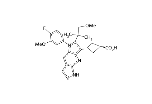 COCC(C)(C)c1c([C@H]2C[C@H](C(=O)O)C2)c2nc3[nH]ncc3cc2n1-c1ccc(F)c(OC)c1